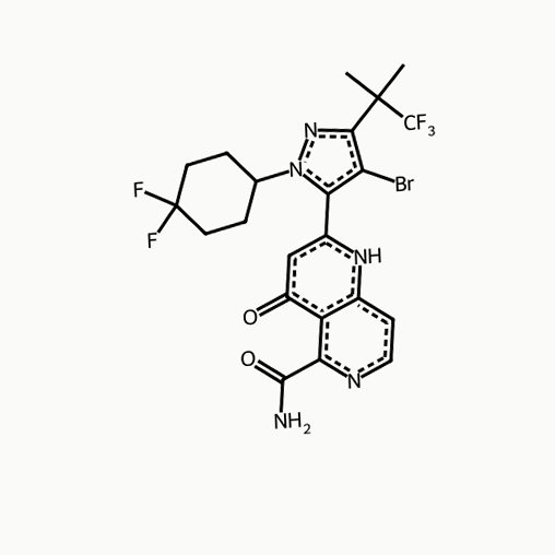 CC(C)(c1nn(C2CCC(F)(F)CC2)c(-c2cc(=O)c3c(C(N)=O)nccc3[nH]2)c1Br)C(F)(F)F